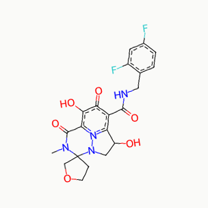 CN1C(=O)c2c(O)c(=O)c(C(=O)NCc3ccc(F)cc3F)c3n2N(CC3O)C12CCOC2